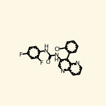 O=C(Nc1ccc(F)cc1F)Nc1cnc2cccnc2c1-c1ccccc1Cl